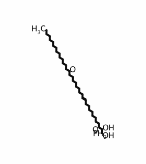 CCCCCCCCCCCCCCCC(=O)CCCCCCCCC=CCCCCCCCCC(OP)C(O)CO